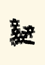 COc1cc(N)c(C(=N)c2ccc(N3CCOCC3)nc2)cc1O[C@H](N)c1c(C)cnnc1C